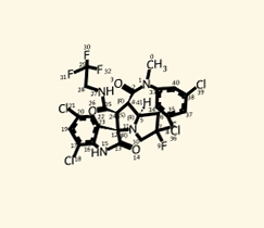 CN(C(=O)[C@H]1[C@H]2CC(F)(F)CN2[C@]2(C(=O)Nc3c(Cl)cc(Cl)cc32)[C@H]1C(=O)NCC(F)(F)F)c1cc(Cl)cc(Cl)c1